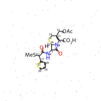 CSC(C(=O)NC1C(=O)N2C(C(=O)O)=C(COC(C)=O)CS[C@H]12)c1cccs1